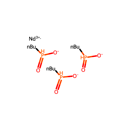 CCCC[PH](=O)[O-].CCCC[PH](=O)[O-].CCCC[PH](=O)[O-].[Nd+3]